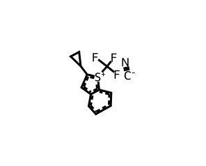 FC(F)(F)[s+]1c(C2CC2)cc2ccccc21.[C-]#N